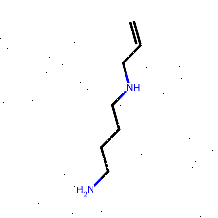 C=CCNCCCCN